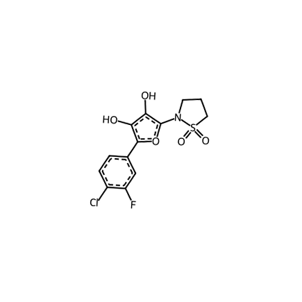 O=S1(=O)CCCN1c1oc(-c2ccc(Cl)c(F)c2)c(O)c1O